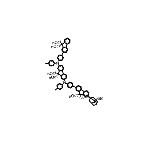 CCCCCCCCC1(CCCCCCCC)c2ccccc2-c2ccc(-c3ccc(N(c4ccc(C)cc4)c4ccc5c(c4)C(CCCCCCCC)(CCCCCCCC)c4cc(N(c6ccc(C)cc6)c6ccc(-c7ccc8c(c7)C(CCCCCCCC)(CCCCCCCC)c7cc(C9%10CC%11CC(C9)CC(C(C)CC)(C%11)C%10)ccc7-8)cc6)ccc4-5)cc3)cc21